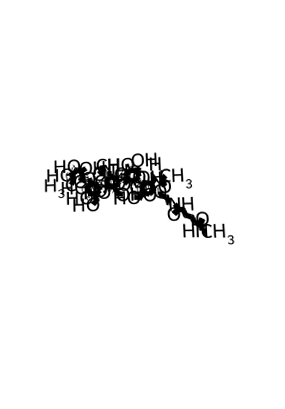 CNC(=O)CCCCC(=O)NCCCO[C@@H]1OC(CO)[C@@H](O[C@@H]2OC(CO)[C@H](O)[C@H](O[C@@H]3OC(CO)[C@@H](O)[C@H](O[C@@H]4OC(CO)[C@H](O)[C@H](O)C4O[C@@H]4OC(C)[C@@H](O)[C@H](O)C4O)C3NC(C)=O)C2O)[C@H](O)C1NC(C)=O